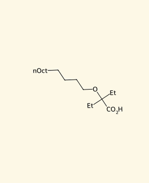 CCCCCCCCCCCCOC(CC)(CC)C(=O)O